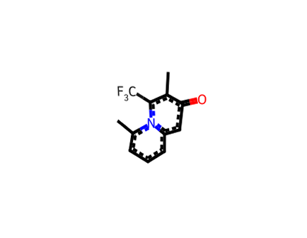 Cc1c(C(F)(F)F)n2c(C)cccc2cc1=O